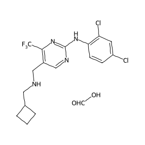 FC(F)(F)c1nc(Nc2ccc(Cl)cc2Cl)ncc1CNCC1CCC1.O=CO